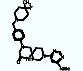 CNc1cc(N2CCC3(CC2)CN(c2ccc(CN4CCC(C)(F)CC4)cc2)CC(=O)N3)ncn1